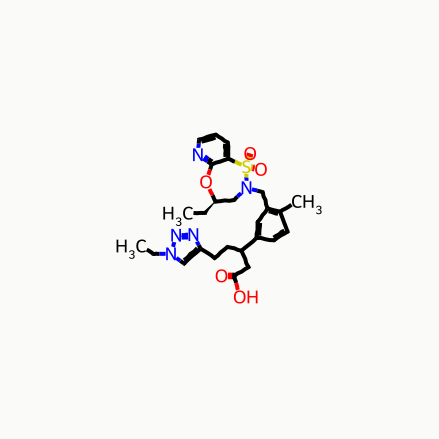 CC[C@@H]1CN(Cc2cc(C(CCc3cn(CC)nn3)CC(=O)O)ccc2C)S(=O)(=O)c2cccnc2O1